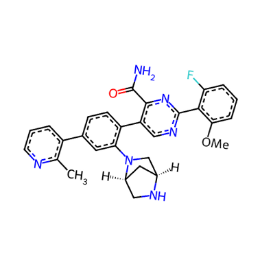 COc1cccc(F)c1-c1ncc(-c2ccc(-c3cccnc3C)cc2N2C[C@@H]3C[C@H]2CN3)c(C(N)=O)n1